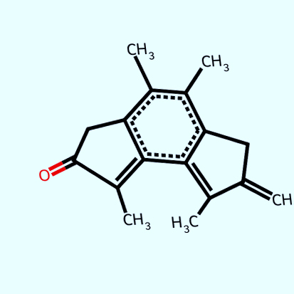 C=C1Cc2c(C)c(C)c3c(c2=C1C)=C(C)C(=O)C3